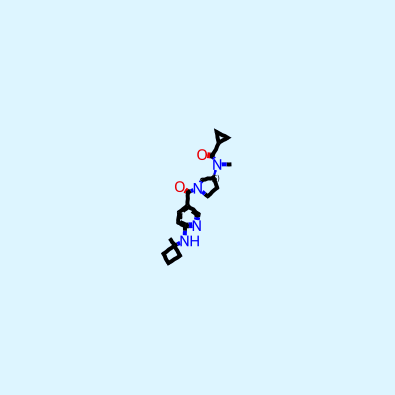 CN(C(=O)C1CC1)[C@H]1CCN(C(=O)c2ccc(NC3(C)CCC3)nc2)C1